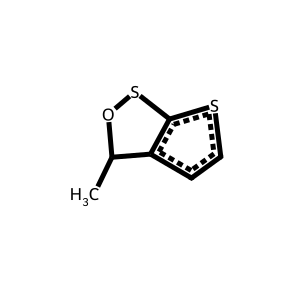 CC1OSc2sccc21